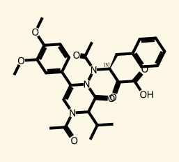 COc1ccc(C2=CN(C(C)=O)C(C(C)C)C(=O)N2N(C(C)=O)[C@@H](Cc2ccccc2)C(=O)C(=O)O)cc1OC